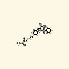 N=C(N)NCCCCOc1ccc(CC(NS(=O)(=O)c2ccccc2)C(=O)O)cc1